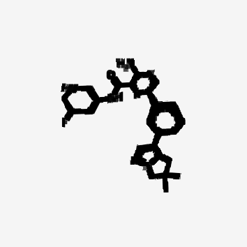 CC1(C)Cc2c(-c3cccc(-c4cnc(N)c(C(=O)NC5CNCC(F)C5)n4)c3)cnn2C1